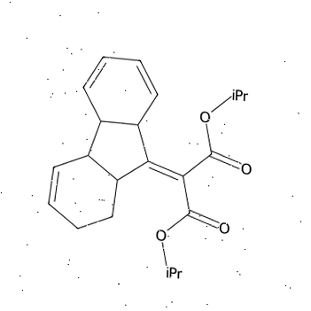 CC(C)OC(=O)C(C(=O)OC(C)C)=C1C2C=CC=CC2C2C=CCCC12